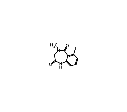 CN1CC(=O)Nc2cccc(I)c2C1=O